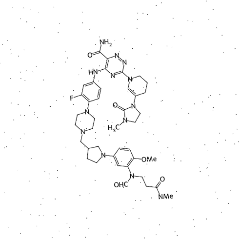 CNC(=O)CCN(C=O)c1cc(N2CCC(CN3CCN(c4ccc(Nc5nc(N6C=C(N7CCN(C)C7=O)CCC6)nnc5C(N)=O)cc4F)CC3)C2)ccc1OC